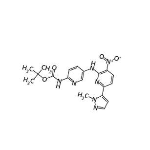 Cn1nccc1-c1ccc([N+](=O)[O-])c(Nc2ccc(NC(=O)OC(C)(C)C)nc2)n1